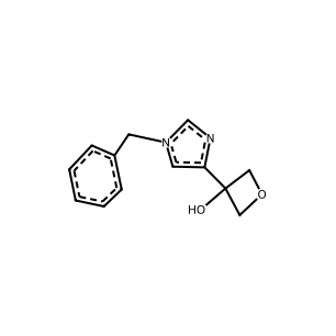 OC1(c2cn(Cc3ccccc3)cn2)COC1